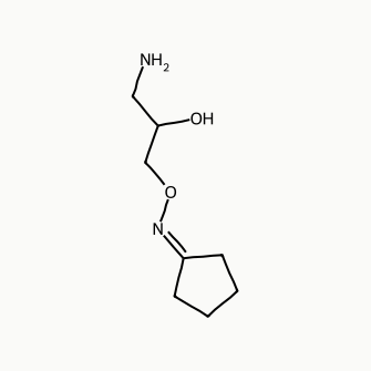 NCC(O)CON=C1CCCC1